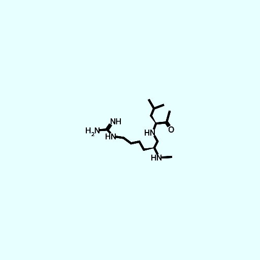 CN[C@@H](CCCCNC(=N)N)CN[C@@H](CC(C)C)C(C)=O